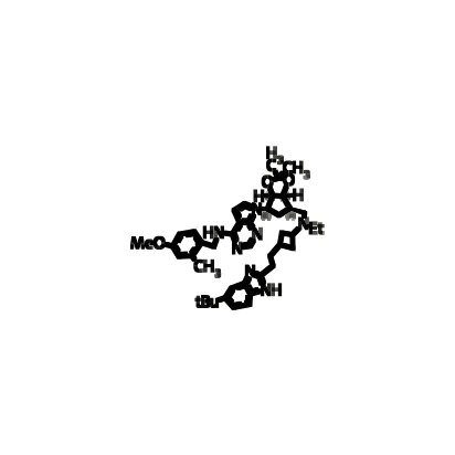 CCN(C[C@H]1C[C@@H](n2ccc3c(NCc4ccc(OC)cc4C)ncnc32)[C@@H]2OC(C)(C)O[C@H]12)C1CC(CCc2nc3cc(C(C)(C)C)ccc3[nH]2)C1